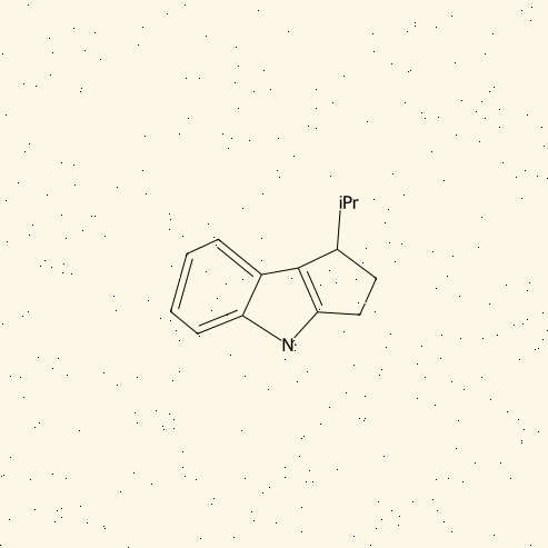 CC(C)C1CCC2=C1c1ccccc1[N]2